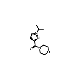 CC(C)n1ccc(C(=O)N2CCOCC2)n1